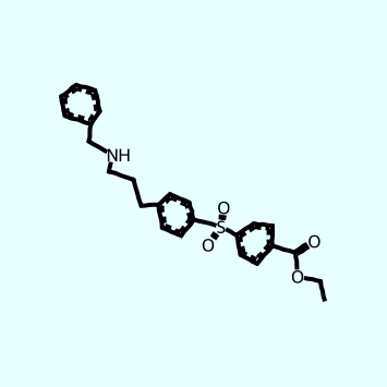 CCOC(=O)c1ccc(S(=O)(=O)c2ccc(CCCNCc3ccccc3)cc2)cc1